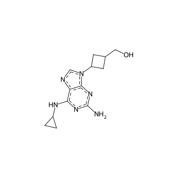 Nc1nc(NC2CC2)c2ncn(C3CC(CO)C3)c2n1